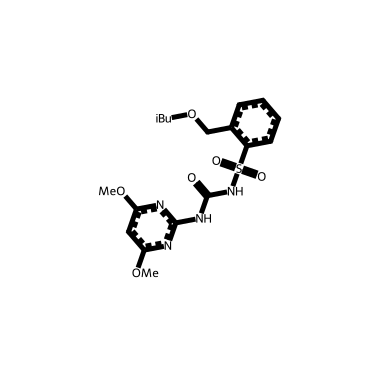 CCC(C)OCc1ccccc1S(=O)(=O)NC(=O)Nc1nc(OC)cc(OC)n1